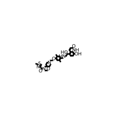 Cc1nc(C(=O)N2CCOC3(CCN(CCOc4cc(C)c(CNC[C@H](O)c5ccc(O)c6[nH]c(=O)ccc56)cc4C)CC3)C2)cs1